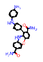 NC(=O)c1ccc2c(c1)Oc1ccc(C(N)=O)c(-c3ccc(Nc4ccc(N)cc4)cc3)c1N2